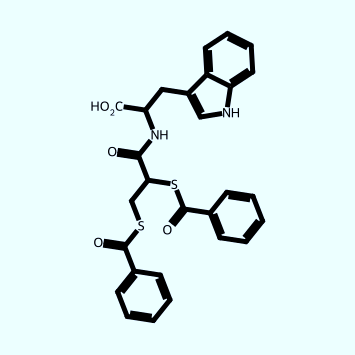 O=C(SCC(SC(=O)c1ccccc1)C(=O)NC(Cc1c[nH]c2ccccc12)C(=O)O)c1ccccc1